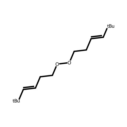 CC(C)(C)C=CCCOOCCC=CC(C)(C)C